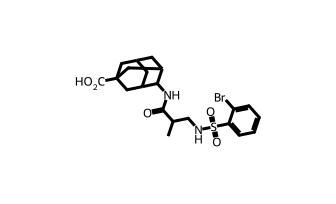 CC(CNS(=O)(=O)c1ccccc1Br)C(=O)NC1C2CC3CC1CC(C(=O)O)(C3)C2